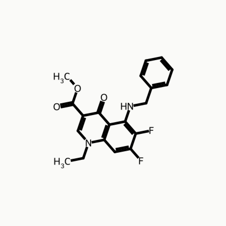 CCn1cc(C(=O)OC)c(=O)c2c(NCc3ccccc3)c(F)c(F)cc21